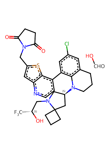 O=C1CCC(=O)N1Cc1cc2nccc(-c3cc(Cl)cc4c3N([C@@H]3CN(C[C@H](O)C(F)(F)F)C5(CCC5)C3)CCC4)c2s1.O=CO